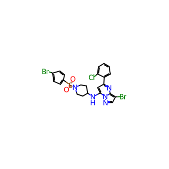 O=S(=O)(c1ccc(Br)cc1)N1CCC(Nc2cc(-c3ccccc3Cl)nc3c(Br)cnn23)CC1